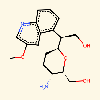 COc1cnc2cccc([C@@H](CO)[C@@H]3CC[C@@H](N)[C@@H](CO)O3)c2c1